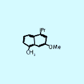 COc1cc(C(C)C)c2cccc(C)c2c1